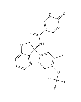 O=C(N[C@]1(c2ccc(OC(F)(F)F)c(F)c2)COc2cccnc21)c1ccc(=O)[nH]c1